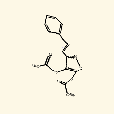 COC(=O)Oc1onc(/C=C/c2ccccc2)c1OC(=O)OC